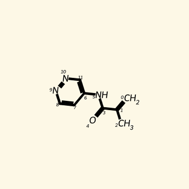 C=C(C)C(=O)Nc1ccnnc1